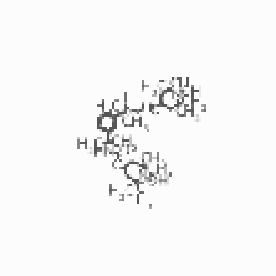 CC(C)(NCOOC1CC(C)(C)N(O)C(C)(C)C1)c1cccc(C(C)(C)NC(=O)OC2CC(C)(C)N(O)C(C)(C)C2)c1